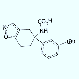 CC(C)(C)c1cccc(C2(NC(=O)O)CCc3oncc3C2)c1